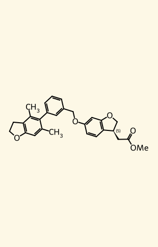 COC(=O)C[C@@H]1COc2cc(OCc3cccc(-c4c(C)cc5c(c4C)CCO5)c3)ccc21